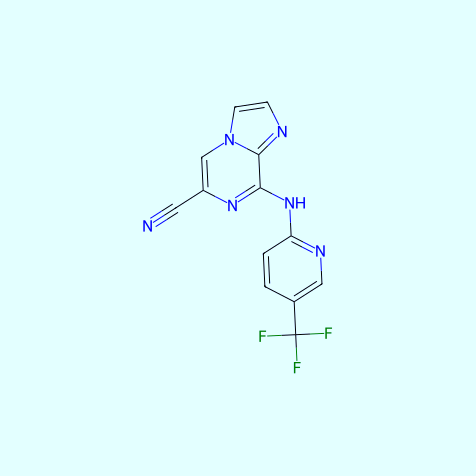 N#Cc1cn2ccnc2c(Nc2ccc(C(F)(F)F)cn2)n1